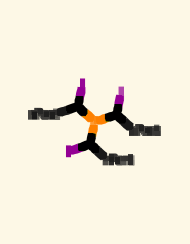 CCCCCC(I)P(C(I)CCCCC)C(I)CCCCC